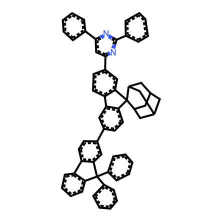 c1ccc(-c2cc(-c3ccc4c(c3)C3(c5ccc(-c6ccc7c(c6)C(c6ccccc6)(c6ccccc6)c6ccccc6-7)cc5-4)C4CC5CC(C4)CC3C5)nc(-c3ccccc3)n2)cc1